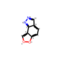 c1cc2oocc2c2nncc12